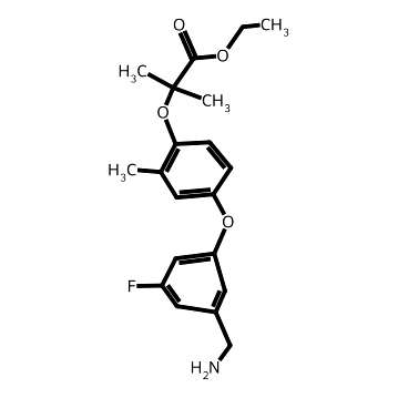 CCOC(=O)C(C)(C)Oc1ccc(Oc2cc(F)cc(CN)c2)cc1C